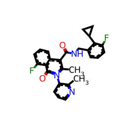 Cc1ncccc1-n1c(C)c(C(=O)NCc2cccc(F)c2C2CC2)c2cccc(F)c2c1=O